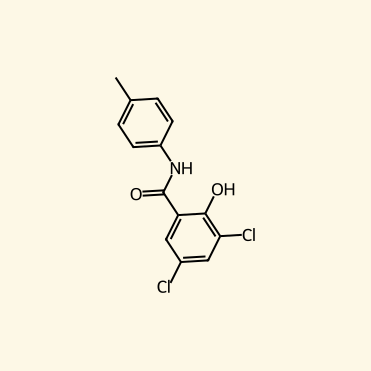 Cc1ccc(NC(=O)c2cc(Cl)cc(Cl)c2O)cc1